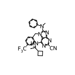 C[C@@H](Nc1nc(C#N)nc2nc(N(C)c3ccccc3)n(Cc3ccc(C(F)(F)F)cc3)c12)C1CCC1